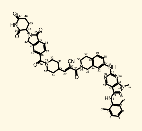 Cc1cccc(C)c1Nc1nn(C)c2nc(Nc3ccc4c(c3)CN(C(=O)/C(C#N)=C/C3CCN(C(=O)c5ccc6c(c5)CN(C5CCC(=O)NC5=O)C6=O)CC3)CC4)ncc12